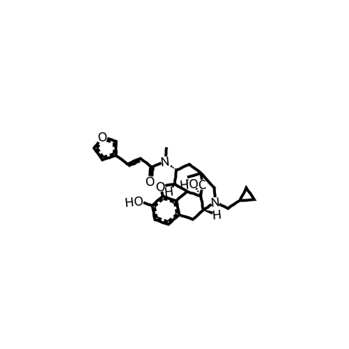 CN(C(=O)/C=C/c1ccoc1)[C@@H]1CC23CN(CC4CC4)[C@@H]4Cc5ccc(O)c6c5[C@@](C2)([C@H]1O6)[C@@]4(O)C3